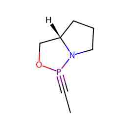 CC#P1OC[C@@H]2CCCN21